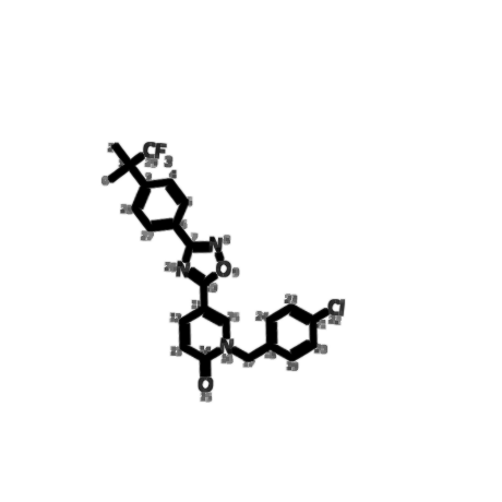 CC(C)(c1ccc(-c2noc(-c3ccc(=O)n(Cc4ccc(Cl)cc4)c3)n2)cc1)C(F)(F)F